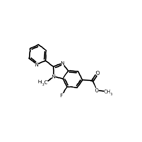 COC(=O)c1cc(F)c2c(c1)nc(-c1ccccn1)n2C